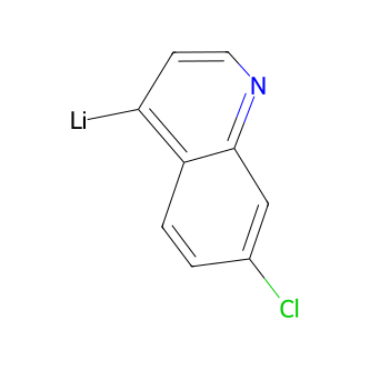 [Li][c]1ccnc2cc(Cl)ccc12